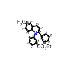 CCOC(=O)c1cccc(N2C(c3ccccc3)=C=Cc3cc(C(F)(F)F)ccc32)c1